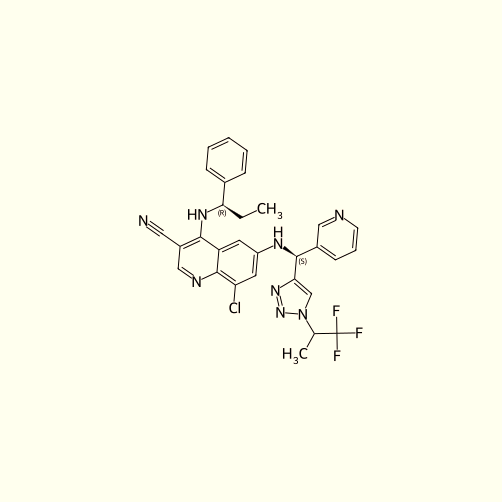 CC[C@@H](Nc1c(C#N)cnc2c(Cl)cc(N[C@@H](c3cccnc3)c3cn(C(C)C(F)(F)F)nn3)cc12)c1ccccc1